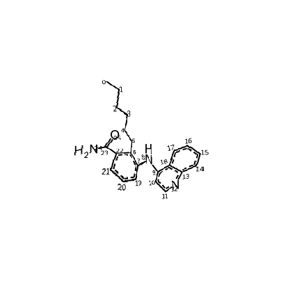 CCCCCCc1c(Nc2ccnc3ccccc23)cccc1C(N)=O